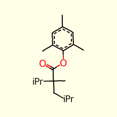 Cc1cc(C)c(OC(=O)C(C)(CC(C)C)C(C)C)c(C)c1